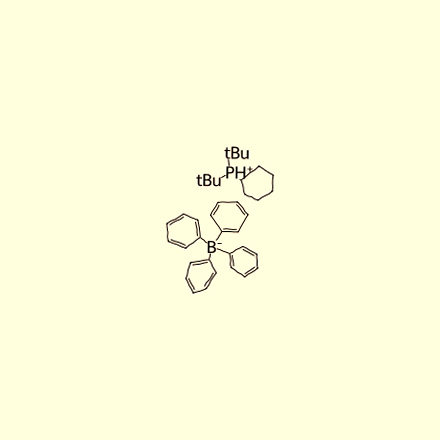 CC(C)(C)[PH+](C1CCCCC1)C(C)(C)C.c1ccc([B-](c2ccccc2)(c2ccccc2)c2ccccc2)cc1